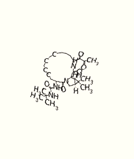 CC(=O)C(=O)[C@@H]1CCCCCCCCCC[C@H](NC(=O)NC(C)(C)C)C(=O)N2C[C@H]3[C@@H]([C@H]2C(=O)N1)C3(C)C